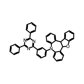 c1ccc(-c2nc(-c3ccccc3)nc(-c3cccc(N4c5ccccc5C5Oc6ccccc6C5c5ccccc54)c3)n2)cc1